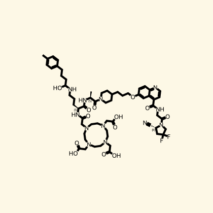 Cc1ccc(CCCC(O)NCCC[C@H](NC(=O)CN2CCN(CC(=O)O)CCN(CC(=O)O)CCN(CC(=O)O)CC2)C(=O)N[C@@H](C)C(=O)N2CCC(CCCOc3ccc4nccc(C(=O)NCC(=O)N5CC(F)(F)C[C@@H]5C#N)c4c3)CC2)cc1